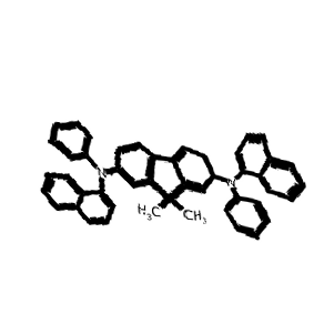 CC1(C)C2=CC(N(c3ccccc3)c3cccc4ccccc34)CC=C2c2ccc(N(c3ccccc3)c3cccc4ccccc34)cc21